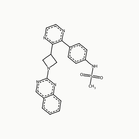 CS(=O)(=O)Nc1ccc(-c2nccnc2C2CN(c3ncc4ccccc4n3)C2)cc1